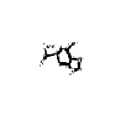 COC(=O)c1cc(C(C)C)c2ncsc2c1